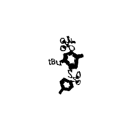 Cc1ccc(S(=O)(=O)Sc2cc(C)c(OS(=O)(=O)N(C)C)cc2C(C)(C)C)cc1